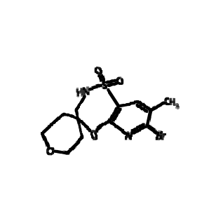 Cc1cc2c(nc1Br)OC1(CCOCC1)CNS2(=O)=O